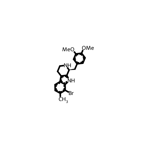 COc1ccc(C[C@@H]2NCCc3c2[nH]c2c(Br)c(C)ccc32)cc1OC